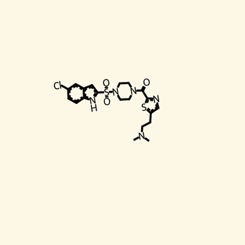 CN(C)CCc1cnc(C(=O)N2CCN(S(=O)(=O)c3cc4cc(Cl)ccc4[nH]3)CC2)s1